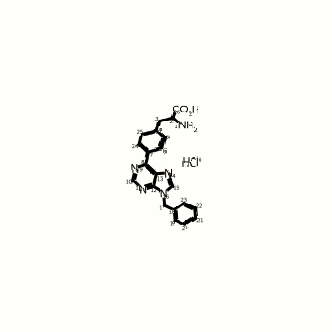 Cl.NC(Cc1ccc(-c2ncnc3c2ncn3Cc2ccccc2)cc1)C(=O)O